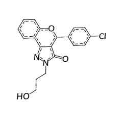 O=c1c2c(-c3ccc(Cl)cc3)oc3ccccc3c-2nn1CCCO